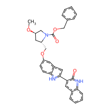 CO[C@@H]1C[C@@H](COc2ccc3[nH]c(-c4cc5ccccc5[nH]c4=O)cc3c2)N(C(=O)OCc2ccccc2)C1